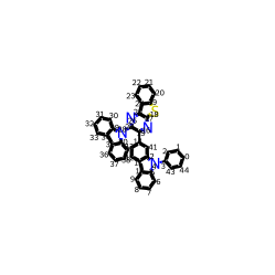 c1ccc(-n2c3ccccc3c3ccc(-c4nc5sc6ccccc6c5nc4-n4c5ccccc5c5ccccc54)cc32)cc1